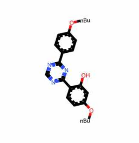 CCCCOc1ccc(-c2ncnc(-c3ccc(OCCCC)cc3O)n2)cc1